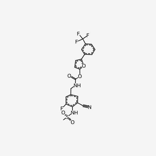 CS(=O)(=O)Nc1c(F)cc(CNC(=O)Oc2ccc(-c3cccc(C(F)(F)F)c3)o2)cc1C#N